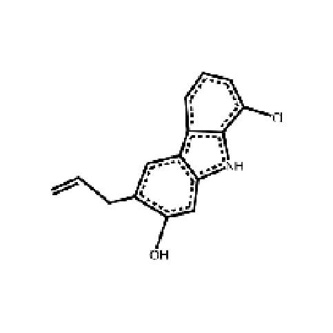 C=CCc1cc2c(cc1O)[nH]c1c(Cl)cccc12